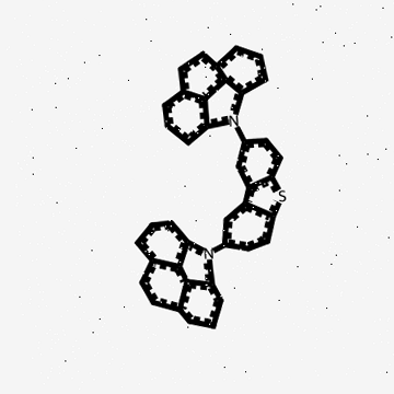 c1cc2ccc3cccc4c3c2c(c1)n4-c1ccc2sc3ccc(-n4c5cccc6ccc7cccc4c7c65)cc3c2c1